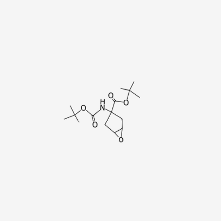 CC(C)(C)OC(=O)NC1(C(=O)OC(C)(C)C)CC2OC2C1